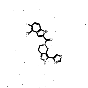 O=C(c1cc2c(Cl)c(F)ccc2[nH]1)N1CCc2n[nH]c(-c3cscn3)c2C1